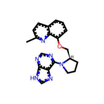 Cc1ccc2cccc(OC[C@H]3CCCN3c3ncnc4[nH]cnc34)c2n1